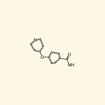 [NH]C(=O)c1ccc(Oc2ccncc2)cc1